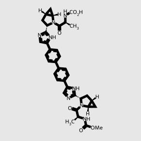 COC(=O)N[C@@H](C)C(=O)N1[C@H](c2ncc(-c3ccc(-c4ccc(-c5cnc([C@@H]6C[C@@H]7C[C@@H]7N6C(=O)[C@H](C)NC(=O)O)[nH]5)cc4)cc3)[nH]2)C[C@@H]2C[C@@H]21